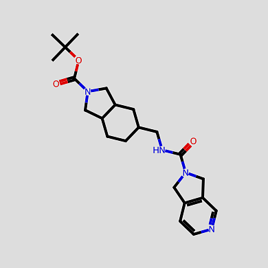 CC(C)(C)OC(=O)N1CC2CCC(CNC(=O)N3Cc4ccncc4C3)CC2C1